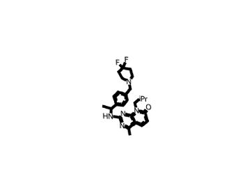 Cc1nc(NC(C)c2ccc(CN3CCC(F)(F)CC3)cc2)nc2c1ccc(=O)n2CC(C)C